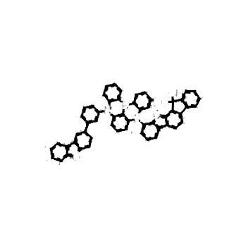 CC1(C)c2ccccc2-c2ccc3c(oc4c(N5c6ccccc6B6c7ccccc7N(c7cccc(-c8ccc9oc%10ccccc%10c9c8)c7)c7cccc5c76)cccc43)c21